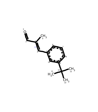 C/C(C=O)=C\c1cccc(C(C)(C)C)c1